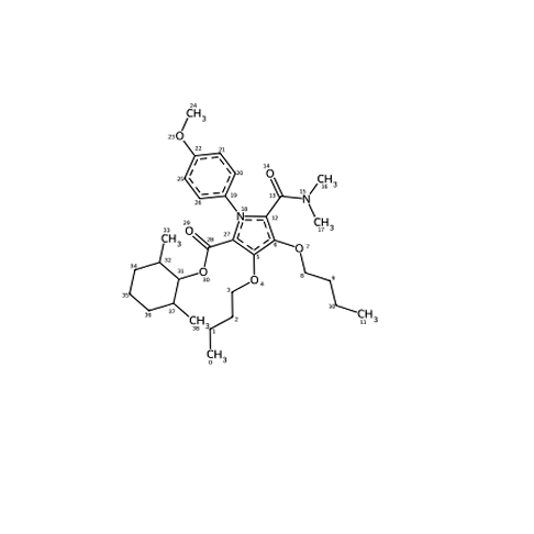 CCCCOc1c(OCCCC)c(C(=O)N(C)C)n(-c2ccc(OC)cc2)c1C(=O)OC1C(C)CCCC1C